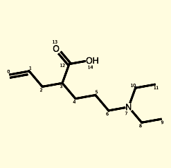 C=CCC(CCCN(CC)CC)C(=O)O